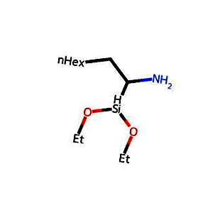 CCCCCCCC(N)[SiH](OCC)OCC